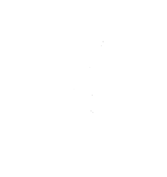 Cc1ccc(CCC(=O)C(C)(C)C)cn1